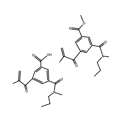 C=C(C)C(=O)c1cc(C(=O)O)cc(C(=O)N(C)CCC)c1.C=C(C)C(=O)c1cc(C(=O)OC)cc(C(=O)N(C)CCC)c1